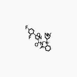 C[C@@H]1c2ccccc2[C@](C)(c2cnn(C)c2)CN1C(=O)c1cc(-c2ccc(F)cc2F)on1